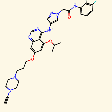 C#CN1CCN(CCCOc2cc(OC(C)C)c3c(Nc4cnn(CC(=O)Nc5cccc(F)c5F)c4)ncnc3c2)CC1